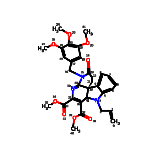 C=CCN1c2ccccc2[C@]23CCC(=O)N(Cc4cc(OC)c(OC)c(OC)c4)C2=NC(C(=O)OC)=C(C(=O)OC)C13